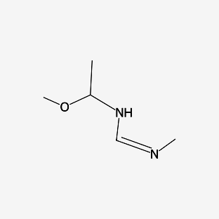 C/N=C\NC(C)OC